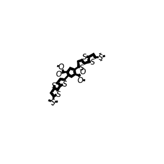 COC(=O)c1cc(-c2cc3sc4cc(S(C)(C)C)sc4c3s2)c(C(=O)OC)cc1-c1cc2sc3cc(S(C)(C)C)sc3c2s1